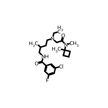 CCN(CCC(C)CNC(=O)c1cc(F)cc(Cl)c1)CC(=O)N(C)C1(C)CCC1